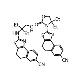 CCC(CC)(CO)Nc1nc2c(s1)CCc1cc(C#N)ccc1-2.CCC1(CC)COC(=O)N1c1nc2c(s1)CCc1cc(C#N)ccc1-2